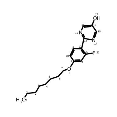 CCCCCCCCOc1ccc(-c2ncc(O)cn2)c(F)c1